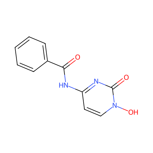 O=C(Nc1ccn(O)c(=O)n1)c1ccccc1